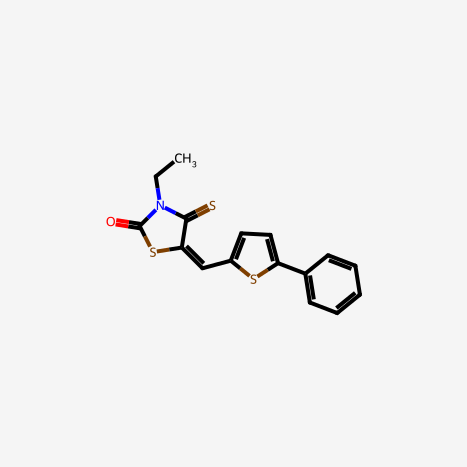 CCN1C(=O)SC(=Cc2ccc(-c3ccccc3)s2)C1=S